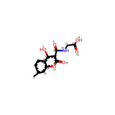 Cc1ccc2c(O)c(C(=O)NCC(=O)O)c(=O)oc2c1